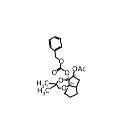 CC(=O)O[C@H]1CC2CCC[C@]23OCC(C)(C)CO[C@@]13OC(=O)OCc1ccccc1